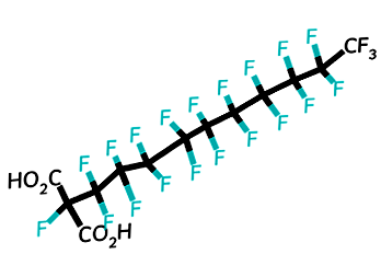 O=C(O)C(F)(C(=O)O)C(F)(F)C(F)(F)C(F)(F)C(F)(F)C(F)(F)C(F)(F)C(F)(F)C(F)(F)C(F)(F)C(F)(F)F